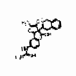 N=C(N)Nc1cccc(C(=O)C(C(=O)O)(C(=O)CN)C2Cc3ccccc3CN2)c1